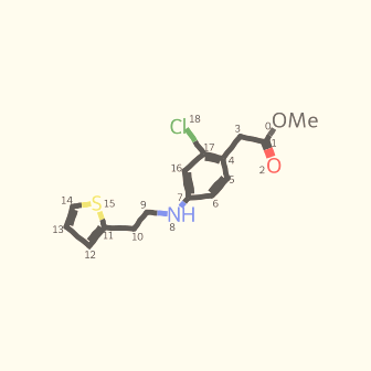 COC(=O)Cc1ccc(NCCc2cccs2)cc1Cl